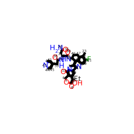 CC[C@@]1(O)C(=O)OCc2c1cc1n(c2=O)Cc2c-1nc1cc(F)c(C)c3c1c2[C@@H](NC(=O)[C@H](CC(N)=O)NC(=O)Cc1ccncc1)CC3